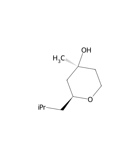 CC(C)C[C@H]1C[C@@](C)(O)CCO1